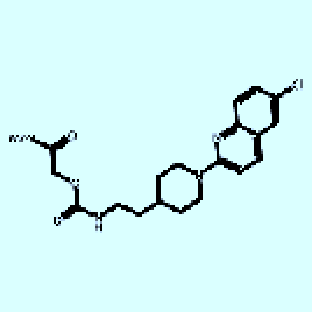 CNC(=O)COC(=O)NCCC1CCN(c2ccc3cc(Cl)ccc3n2)CC1